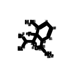 CCC(Br)C(=O)C1(F)C(N)=CC=CC1C(N)=O